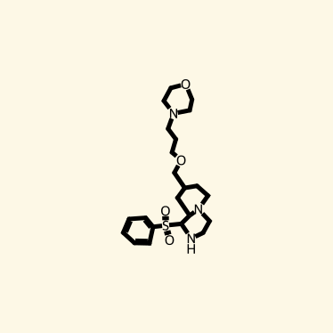 O=S(=O)(c1ccccc1)C1NCCN2CCC(COCCCN3CCOCC3)CC12